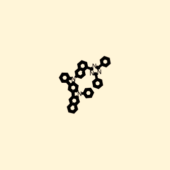 c1ccc(-c2nc(-c3ccccc3)nc(-c3cccc4cc(-n5c6ccccc6c6cc7c8cc9ccccc9cc8n(-c8ccccc8)c7cc65)ccc34)n2)cc1